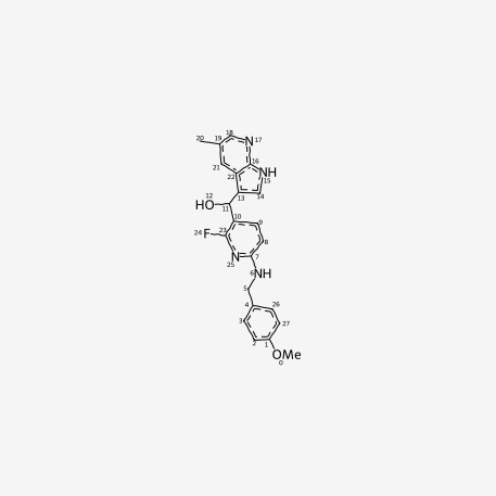 COc1ccc(CNc2ccc(C(O)c3c[nH]c4ncc(C)cc34)c(F)n2)cc1